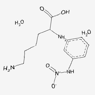 NCCCCC(N)C(=O)O.O.O.O=[N+]([O-])Nc1ccccc1